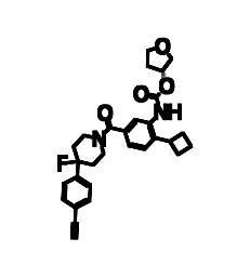 C#Cc1ccc(C2(F)CCN(C(=O)c3ccc(C4CCC4)c(NC(=O)O[C@@H]4CCOC4)c3)CC2)cc1